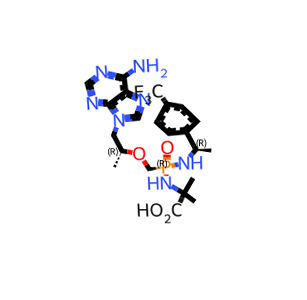 C[C@H](Cn1cnc2c(N)ncnc21)OC[P@@](=O)(N[C@H](C)c1ccc(C(F)(F)F)cc1)NC(C)(C)C(=O)O